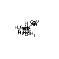 CCn1nc(C)cc1Nc1nc2c(N(C)CC(N)=O)cccc2n1CCCNC(=O)OCc1ccccc1